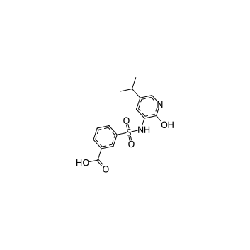 CC(C)c1cnc(O)c(NS(=O)(=O)c2cccc(C(=O)O)c2)c1